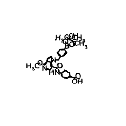 COc1ncc(C(=O)NC2CCC(C(=O)O)CC2)c2c1ccn2Cc1ccc(B2OC(C)(C)C(C)(C)O2)cc1